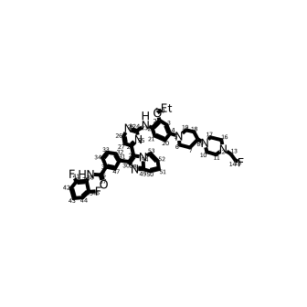 CCOc1cc(N2CCC(N3CCN(CCF)CC3)CC2)ccc1Nc1nccc(-c2c(-c3cccc(C(=O)Nc4c(F)cccc4F)c3)nc3ccccn23)n1